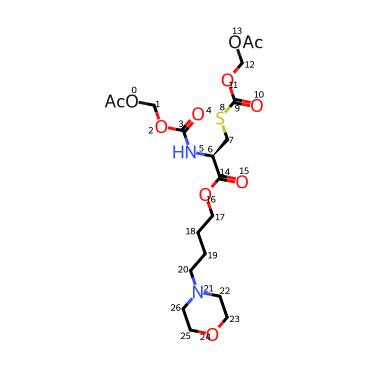 CC(=O)OCOC(=O)N[C@@H](CSC(=O)OCOC(C)=O)C(=O)OCCCCN1CCOCC1